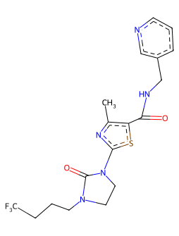 Cc1nc(N2CCN(CCCC(F)(F)F)C2=O)sc1C(=O)NCc1cccnc1